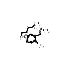 CCCCCC.Cc1ccccc1CO.O